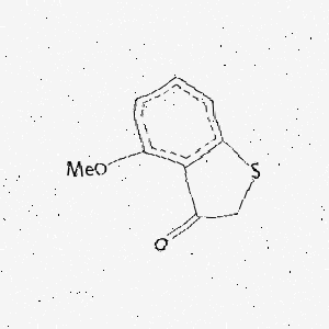 COc1cccc2c1C(=O)CS2